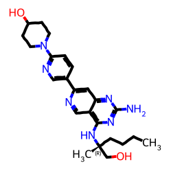 CCCC[C@](C)(CO)Nc1nc(N)nc2cc(-c3ccc(N4CCC(O)CC4)nc3)ncc12